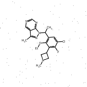 CCOc1c(C(C)n2nc(C)c3cncnc32)cc(Cl)c(F)c1C1CN(C)C1